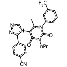 CCCn1c(=O)c(-n2cnnc2-c2ccc(C#N)cc2)c(C)n(-c2cccc(C(F)(F)F)c2)c1=O